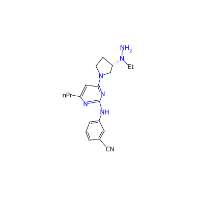 CCCc1cc(N2CC[C@H](N(N)CC)C2)nc(Nc2cccc(C#N)c2)n1